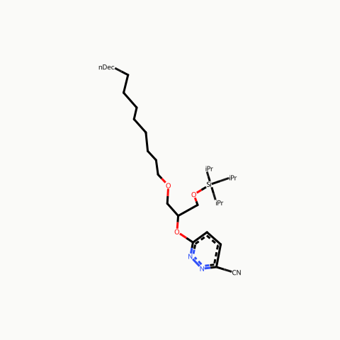 CCCCCCCCCCCCCCCCCCOCC(CO[Si](C(C)C)(C(C)C)C(C)C)Oc1ccc(C#N)nn1